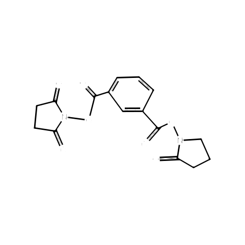 O=C(ON1CCCC1=O)c1cccc(C(=O)ON2C(=O)CCC2=O)c1